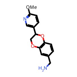 COc1ccc(C2COc3cc(CN)ccc3O2)cn1